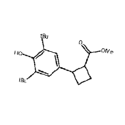 COC(=O)C1CCC1c1cc(C(C)(C)C)c(O)c(C(C)(C)C)c1